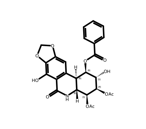 CC(=O)O[C@@H]1[C@@H](O)[C@H](OC(=O)c2ccccc2)[C@@H]2c3cc4c(c(O)c3C(=O)N[C@H]2[C@@H]1OC(C)=O)OCO4